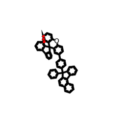 c1ccc(C2(c3ccc(-c4ccc5c(c4)C4(c6ccccc6-c6ccccc64)c4c(ccc6ccccc46)O5)cc3)c3ccccc3-c3c2ccc2ccccc32)cc1